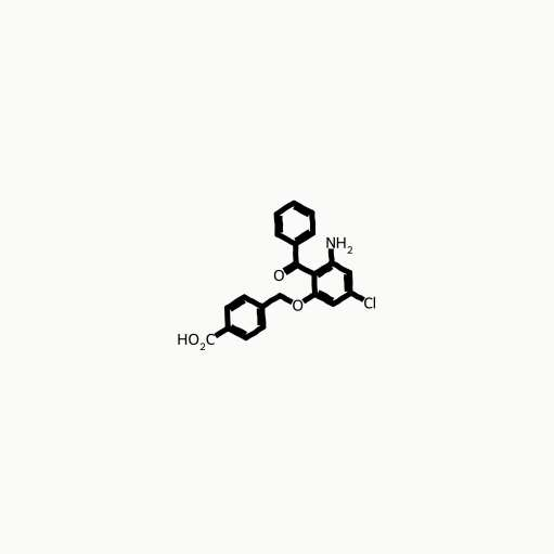 Nc1cc(Cl)cc(OCc2ccc(C(=O)O)cc2)c1C(=O)c1ccccc1